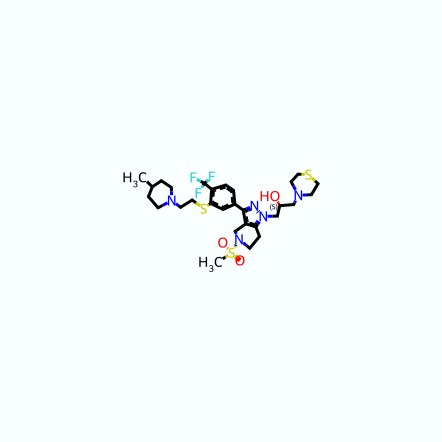 CC1CCN(CCSc2cc(-c3nn(C[C@@H](O)CN4CCSCC4)c4c3CN(S(C)(=O)=O)CC4)ccc2C(F)(F)F)CC1